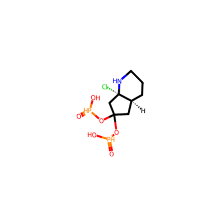 O=[PH](O)OC1(O[PH](=O)O)C[C@@H]2CCCN[C@]2(Cl)C1